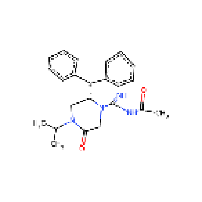 CC(=O)NC(=N)N1CC(=O)N(C(C)C)C[C@@H]1C(c1ccccc1)c1ccccc1